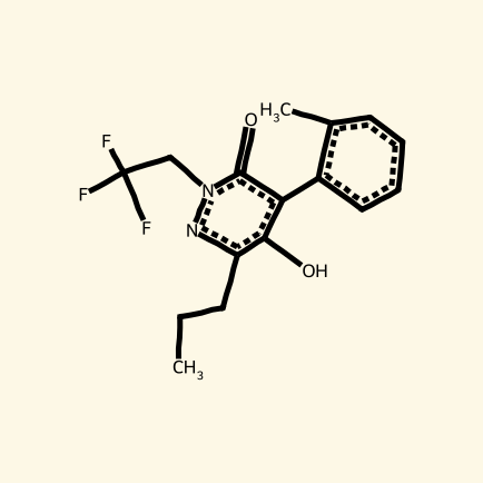 CCCc1nn(CC(F)(F)F)c(=O)c(-c2ccccc2C)c1O